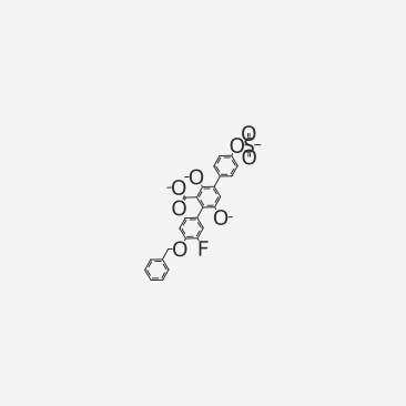 COC(=O)c1c(OC)c(-c2ccc(OS(C)(=O)=O)cc2)cc(OC)c1-c1ccc(OCc2ccccc2)c(F)c1